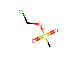 CS(=O)(=O)OCCl